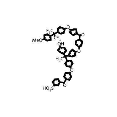 COc1ccc(C(c2ccc(Oc3ccc(C(=O)c4ccc(Oc5ccc(C(C)(c6ccc(O)cc6)c6ccc(Oc7ccc(C(=O)c8cccc(S(=O)(=O)O)c8)cc7)cc6)cc5)cc4)cc3)cc2)(C(F)(F)F)C(F)(F)F)cc1